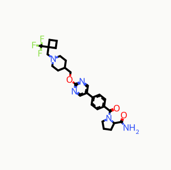 NC(=O)C1CCCN1C(=O)c1ccc(-c2cnc(OCC3CCN(CC4(C(F)(F)F)CCC4)CC3)nc2)cc1